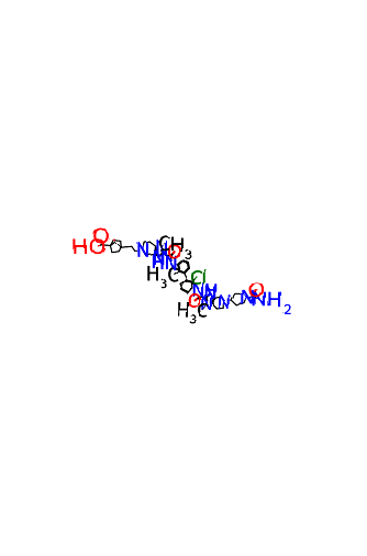 Cc1c(NC(=O)c2nc3c(n2C)CCN(CCC24CCC(C(=O)O)(CC2)C4)C3)cccc1-c1cccc(NC(=O)c2nc3c(n2C)CCN(C2CCN(C(N)=O)CC2)C3)c1Cl